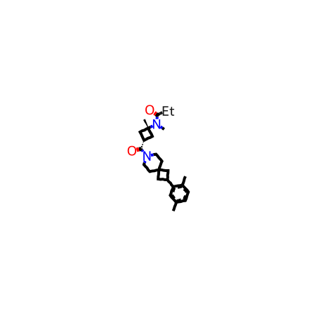 CCC(=O)N(C)[C@]1(C)C[C@H](C(=O)N2CCC3(CC2)CC(c2cc(C)ccc2C)C3)C1